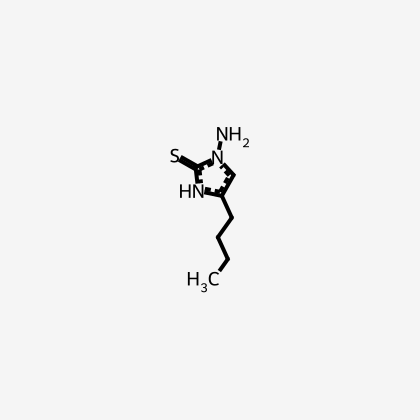 CCCCc1cn(N)c(=S)[nH]1